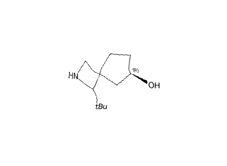 CC(C)(C)C1NCC12CC[C@@H](O)C2